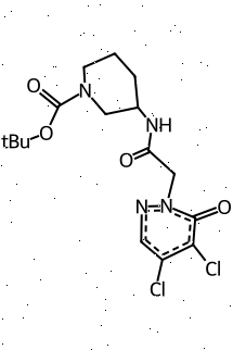 CC(C)(C)OC(=O)N1CCCC(NC(=O)Cn2ncc(Cl)c(Cl)c2=O)C1